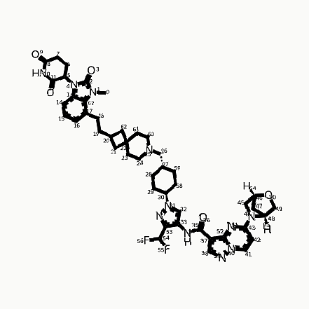 Cn1c(=O)n(C2CCC(=O)NC2=O)c2cccc(CCC3CC4(CCN(C[C@H]5CC[C@H](n6cc(NC(=O)c7cnn8ccc(N9C[C@H]%10C[C@@H]9CO%10)nc78)c(C(F)F)n6)CC5)CC4)C3)c21